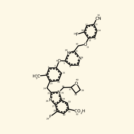 Cc1cc(Oc2ccnc(COc3ccc(C#N)cc3F)n2)ccc1Cc1nc2c(F)cc(C(=O)O)cc2n1CC1CCO1